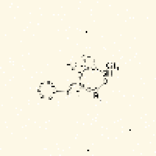 C[SiH]1O[SiH2]O[Si](C)(C=Cc2ccccc2)O[Si](C)(C)O1